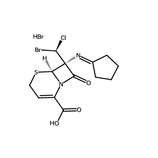 Br.O=C(O)C1=CCS[C@@H]2N1C(=O)[C@]2(N=C1CCCC1)[C@H](Cl)Br